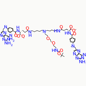 COC(=O)[C@H](CCC(=O)NCCCCCN(CCCCCNC(=O)CC[C@@H](NC(=O)c1ccc(N(C)Cc2cnc3nc(N)nc(N)c3n2)cc1)C(=O)OC)CCOCCOCCNC(=O)OC(C)(C)C)NC(=O)c1ccc(N(C)Cc2cnc3nc(N)nc(N)c3n2)cc1